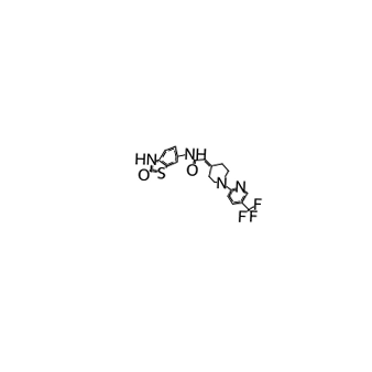 O=C(C=C1CCN(c2ccc(C(F)(F)F)cn2)CC1)Nc1ccc2[nH]c(=O)sc2c1